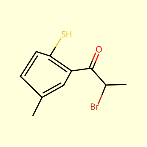 Cc1ccc(S)c(C(=O)C(C)Br)c1